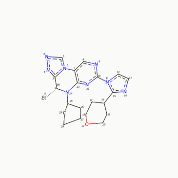 CC[C@@H]1c2nncn2-c2cnc(-n3ccnc3C3CCOCC3)nc2N1C1CCCC1